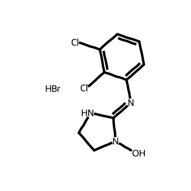 Br.ON1CCN/C1=N\c1cccc(Cl)c1Cl